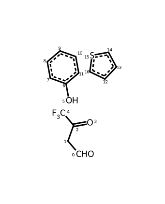 O=CCC(=O)C(F)(F)F.Oc1ccccc1.c1ccsc1